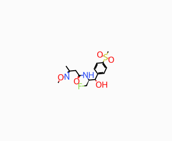 CON=C(C)CC(=O)N[C@H](CF)[C@H](O)c1ccc(S(C)(=O)=O)cc1